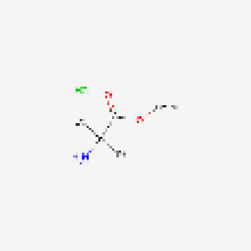 CCCCCCOC(=O)C(N)(CC)CC.Cl